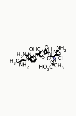 C[C@H](N)CCn1c(N)nc2c1ccc[n+]2CC1=C(C=O)N2C(=O)C(NC(=O)/C(=N\O[C@@H](C)C(=O)O)c3nc(N)sc3Cl)C2SC1